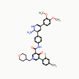 COc1ccc(C2=CNC(N)C(c3ccc(NC(=O)c4cn(CC5CCOCC5)cc(-c5ccc(C)cc5F)c4=O)cc3)=C2)cc1OC